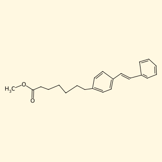 COC(=O)CCCCCCc1ccc(/C=C/c2ccccc2)cc1